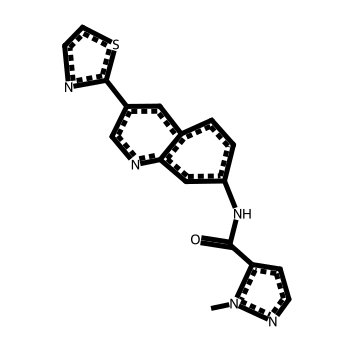 Cn1nccc1C(=O)Nc1ccc2cc(-c3nccs3)cnc2c1